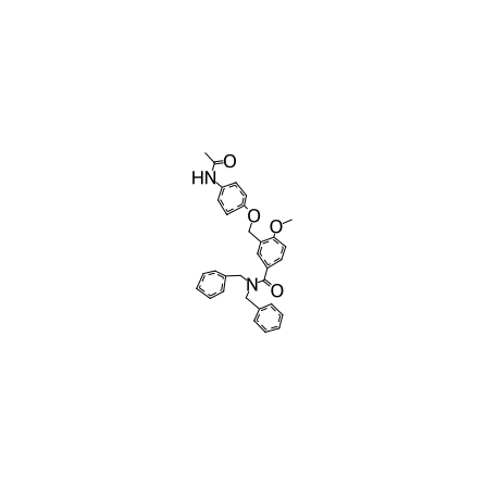 COc1ccc(C(=O)N(Cc2ccccc2)Cc2ccccc2)cc1COc1ccc(NC(C)=O)cc1